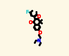 CCN(CC)CCOc1ccc2c(c1)C(C)(C)c1oc(C)c(/C=C(\C)F)c1C2=O